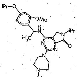 COc1cc(OC(C)C)ccc1C(C)Nc1nc(N2CCN(C(C)=O)CC2)nc2c1CN(C(C)C)C2=O